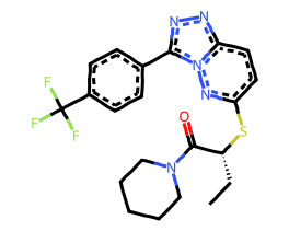 CC[C@@H](Sc1ccc2nnc(-c3ccc(C(F)(F)F)cc3)n2n1)C(=O)N1CCCCC1